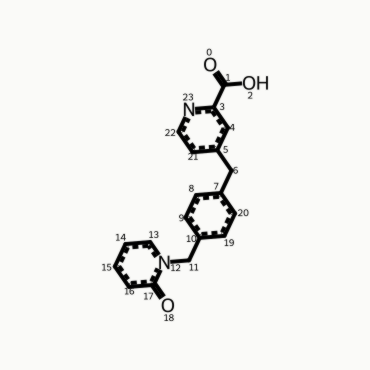 O=C(O)c1cc(Cc2ccc(Cn3ccccc3=O)cc2)ccn1